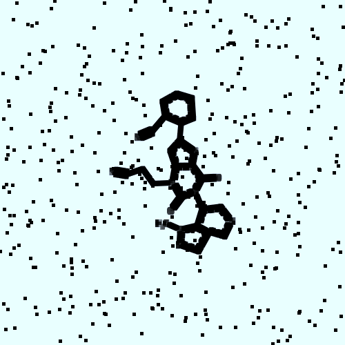 Cn1ncc2cncc(-n3c(=O)c4sc(-c5ccccc5C#N)cc4n(CCC#N)c3=O)c21